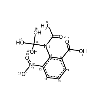 CC(=O)N(c1c(C(=O)O)cccc1[N+](=O)[O-])C(O)(O)O